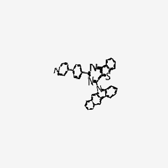 c1ccc2cc3c(cc2c1)c1ccccc1n3-c1nc(-c2ccc(-c3ccncc3)cc2)nc2c1sc1ccccc12